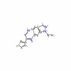 CC(=O)Nn1ncc2cc3ncc(-c4ccsc4)nc3cc21